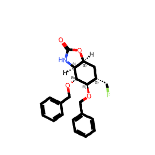 O=C1N[C@@H]2[C@@H](OCc3ccccc3)[C@H](OCc3ccccc3)[C@@H](CF)C[C@@H]2O1